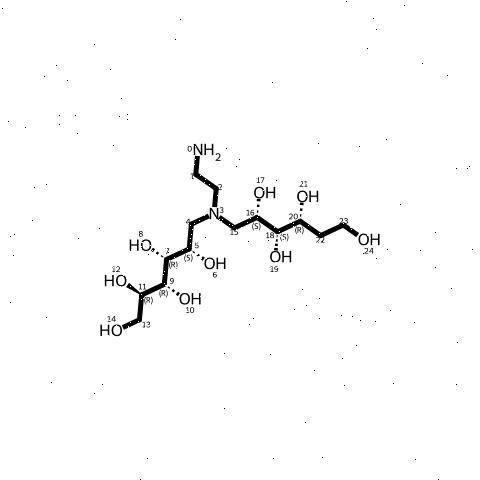 NCCN(C[C@H](O)[C@@H](O)[C@H](O)[C@H](O)CO)C[C@H](O)[C@@H](O)[C@H](O)CCO